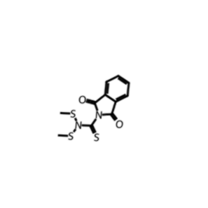 CSN(SC)C(=S)N1C(=O)c2ccccc2C1=O